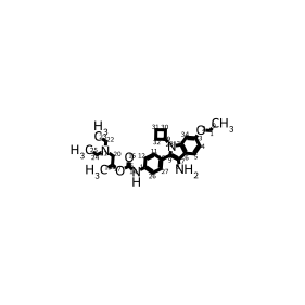 CCOc1ccc2c(N)c(-c3ccc(NC(=O)OC(C)CN(CC)CC)cc3)n(C3CCC3)c2c1